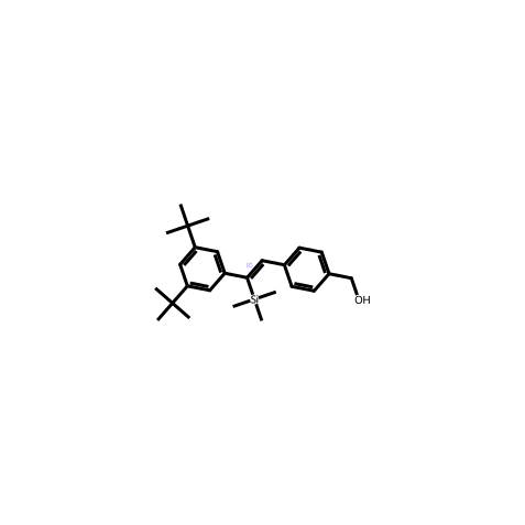 CC(C)(C)c1cc(/C(=C/c2ccc(CO)cc2)[Si](C)(C)C)cc(C(C)(C)C)c1